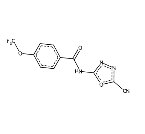 N#Cc1nnc(NC(=O)c2ccc(OC(F)(F)F)cc2)o1